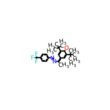 CC(N=Nc1ccc(C(F)(F)F)cc1)=C1C=C(C(C)(C)C)C(=O)C(C(C)(C)C)=C1